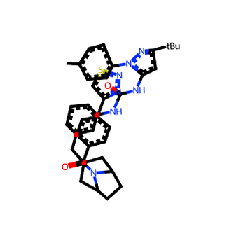 Cc1ccc(-n2nc(C(C)(C)C)cc2NC(=O)Nc2cccc(CC3CC4CCC(C3)N4C(=O)c3ccc(-c4csnn4)cc3)c2)cc1